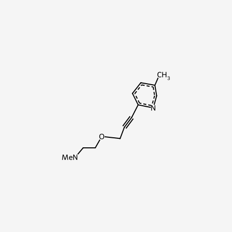 CNCCOCC#Cc1ccc(C)cn1